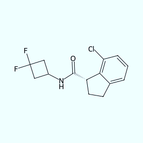 O=C(NC1CC(F)(F)C1)[C@H]1CCc2cccc(Cl)c21